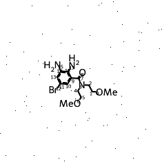 COCCN(CCOC)C(=O)c1cc(Br)cc(N)c1N